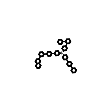 c1ccc(-c2ccc(-c3ccc(N(c4ccc(-c5ccc(-c6cccc(-c7ccc8ccccc8c7)c6)cc5)cc4)c4ccc(-c5ccccc5-c5ccccc5)cc4)cc3)cc2)cc1